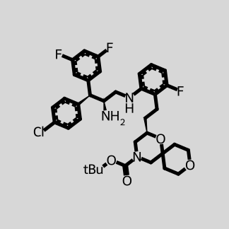 CC(C)(C)OC(=O)N1C[C@@H](CCc2c(F)cccc2NC[C@@H](N)[C@@H](c2ccc(Cl)cc2)c2cc(F)cc(F)c2)OC2(CCOCC2)C1